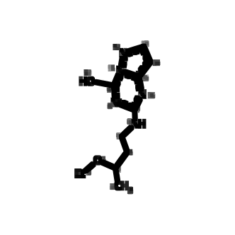 CCOC(C)CCNc1nc(O)n2nccc2n1